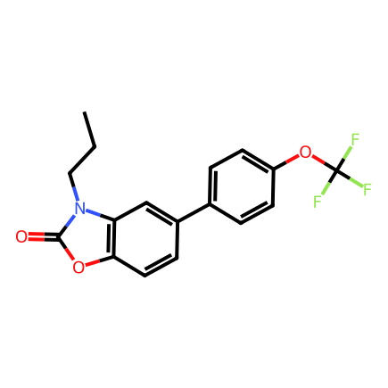 CCCn1c(=O)oc2ccc(-c3ccc(OC(F)(F)F)cc3)cc21